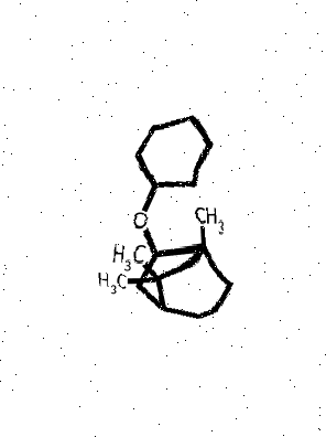 CC1(C)C2CCC1(C)C(OC1CCCCC1)C2